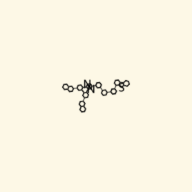 c1cc(-c2cccc(-c3cnc4c5ccc(-c6ccc7ccccc7c6)cc5c5cc(-c6ccc7ccccc7c6)ccc5c4n3)c2)cc(-c2cccc(-c3cccc4c3sc3ccccc34)c2)c1